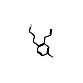 C=CCc1cc(F)ccc1CCCCl